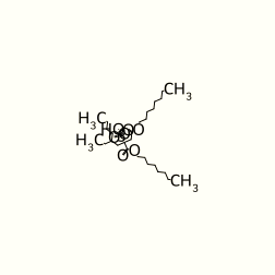 CCCCCCCCOC(=O)CC(CC(CC)CCCC)(C(=O)OCCCCCCCC)S(=O)(=O)O